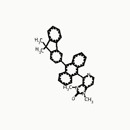 Cn1c(=O)n(C)c2c(-c3c4ccccc4c(-c4ccc5c(c4)-c4ccccc4C5(C)C)c4ccccc34)nccc21